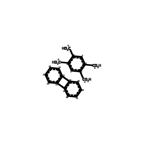 O=C(O)c1cc(C(=O)O)c(C(=O)O)cc1C(=O)O.c1ccc2c(c1)-c1ccccc1-2